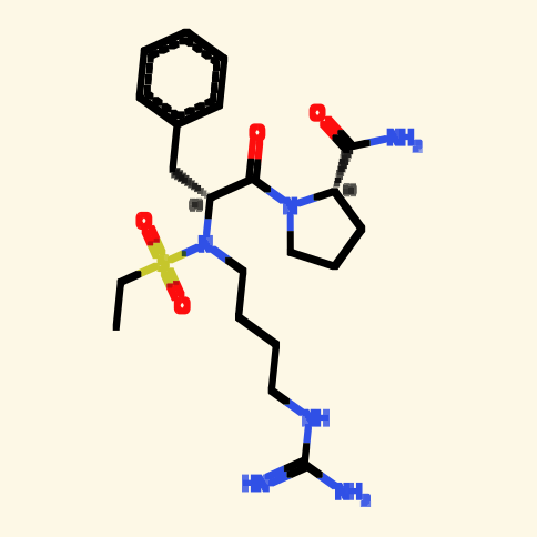 CCS(=O)(=O)N(CCCCNC(=N)N)[C@H](Cc1ccccc1)C(=O)N1CCC[C@H]1C(N)=O